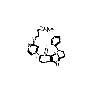 COCCOc1cc([C@H]2CCc3nc4n(c3N2)C(c2ccccc2)CC4)ccn1